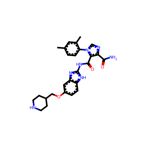 Cc1ccc(-n2cnc(C(N)=O)c2C(=O)Nc2nc3cc(OCC4CCNCC4)ccc3[nH]2)c(C)c1